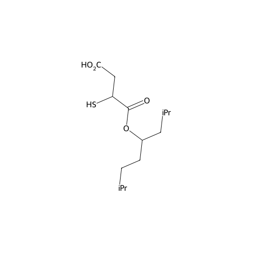 CC(C)CCC(CC(C)C)OC(=O)C(S)CC(=O)O